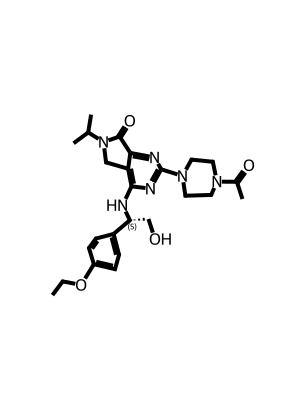 CCOc1ccc([C@@H](CO)Nc2nc(N3CCN(C(C)=O)CC3)nc3c2CN(C(C)C)C3=O)cc1